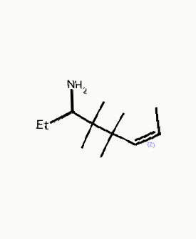 C/C=C\C(C)(C)C(C)(C)C(N)CC